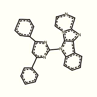 c1ccc(-c2cc(-c3ccccc3)nc(-n3c4ccccc4c4nc5cnccn5c43)n2)cc1